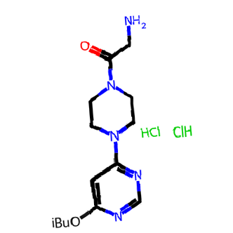 CC(C)COc1cc(N2CCN(C(=O)CN)CC2)ncn1.Cl.Cl